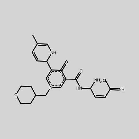 CC1=CNC(c2cn(CC3CCOCC3)cc(C(=O)NC(N)/C=C\C(=N)Cl)c2=O)C=C1